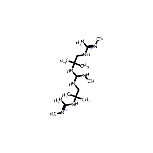 CC(C)(CNC(NC#N)NC(C)(C)CN/C(N)=N/C#N)N/C(N)=N/C#N